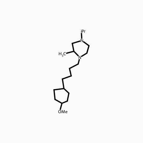 COC1CCC(CCCCN2CCN(C(C)C)CC2C)CC1